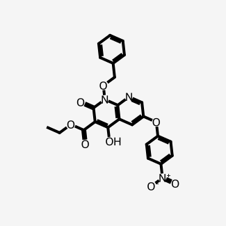 CCOC(=O)c1c(O)c2cc(Oc3ccc([N+](=O)[O-])cc3)cnc2n(OCc2ccccc2)c1=O